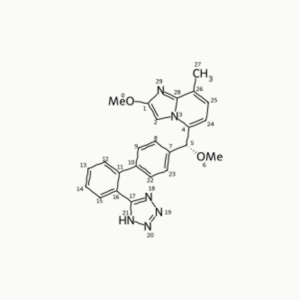 COc1cn2c([C@H](OC)c3ccc(-c4ccccc4-c4nnn[nH]4)cc3)ccc(C)c2n1